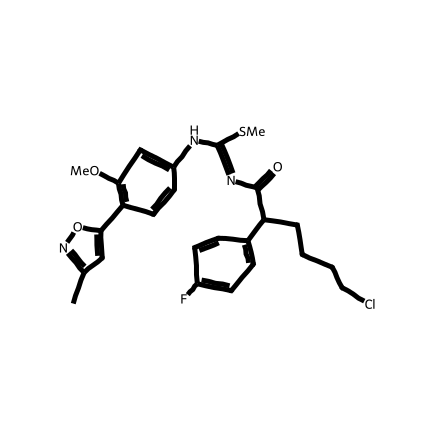 COc1cc(NC(=NC(=O)C(CCCCCl)c2ccc(F)cc2)SC)ccc1-c1cc(C)no1